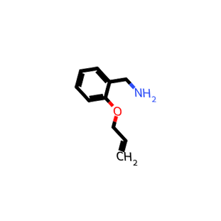 C=CCOc1ccccc1CN